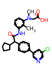 Cc1c(NC(=O)C(c2ccc(-c3cncc(Cl)c3)cc2)C2CCCC2)cccc1N(C)CC(=O)O